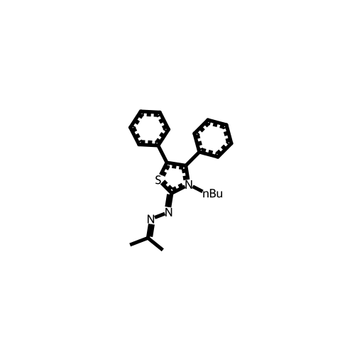 CCCCn1c(-c2ccccc2)c(-c2ccccc2)sc1=NN=C(C)C